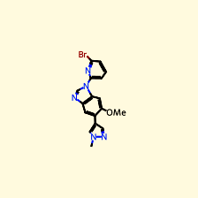 COc1cc2c(cc1-c1cnn(C)c1)ncn2-c1cccc(Br)n1